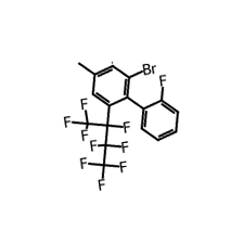 Cc1[c]c(Br)c(-c2ccccc2F)c(C(F)(C(F)(F)F)C(F)(F)C(F)(F)F)c1